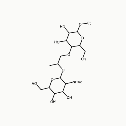 CCOC1OC(CO)C(OCC(C)OC2OC(CO)C(O)C(O)C2NC(C)=O)C(O)C1O